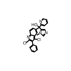 Cn1cncc1C(O)(c1ccc2nc(Cl)c(-c3ccccc3)c(Cl)c2c1)c1ccccn1